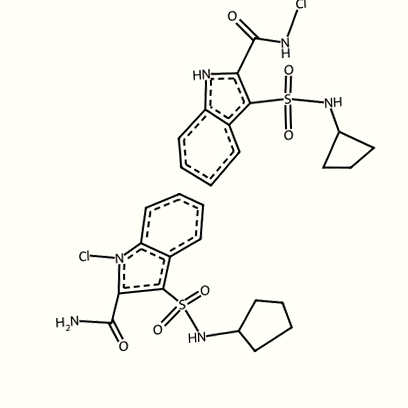 NC(=O)c1c(S(=O)(=O)NC2CCCC2)c2ccccc2n1Cl.O=C(NCl)c1[nH]c2ccccc2c1S(=O)(=O)NC1CCC1